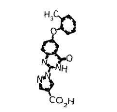 Cc1ccccc1Oc1ccc2nc(-n3cc(C(=O)O)cn3)[nH]c(=O)c2c1